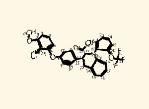 COc1cccc(Oc2ccc(C3Cc4ccccc4N(c4ccccc4OC(F)(F)F)[C@H]3C(=O)O)cc2)c1Cl